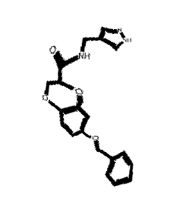 O=C(NCc1cn[nH]c1)C1COc2ccc(OCc3ccccc3)cc2O1